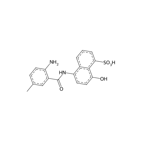 Cc1ccc(N)c(C(=O)Nc2ccc(O)c3c(S(=O)(=O)O)cccc23)c1